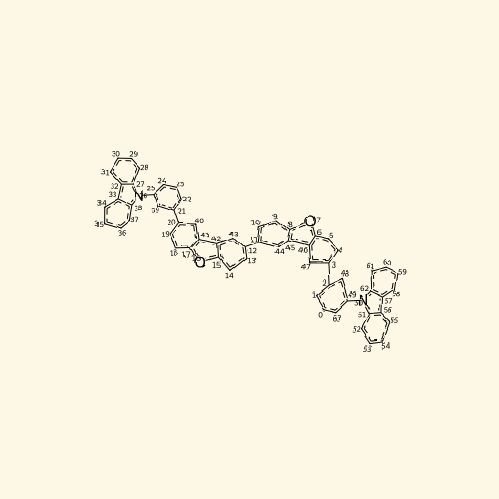 c1cc(-c2ccc3oc4ccc(-c5ccc6oc7ccc(-c8cccc(-n9c%10ccccc%10c%10ccccc%109)c8)cc7c6c5)cc4c3c2)cc(-n2c3ccccc3c3ccccc32)c1